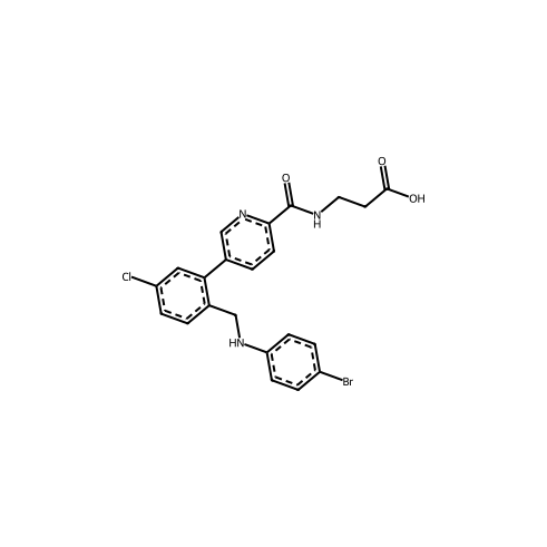 O=C(O)CCNC(=O)c1ccc(-c2cc(Cl)ccc2CNc2ccc(Br)cc2)cn1